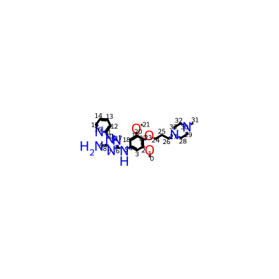 COc1cc(Nc2nc(N)n(-c3ccccn3)n2)cc(OC)c1OCCCN1CCN(C)CC1